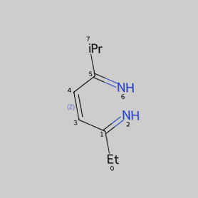 CCC(=N)/C=C\C(=N)C(C)C